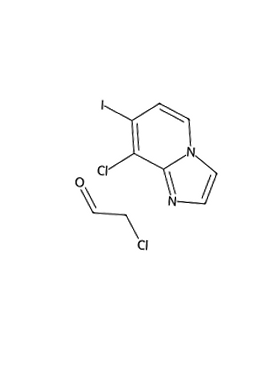 Clc1c(I)ccn2ccnc12.O=CCCl